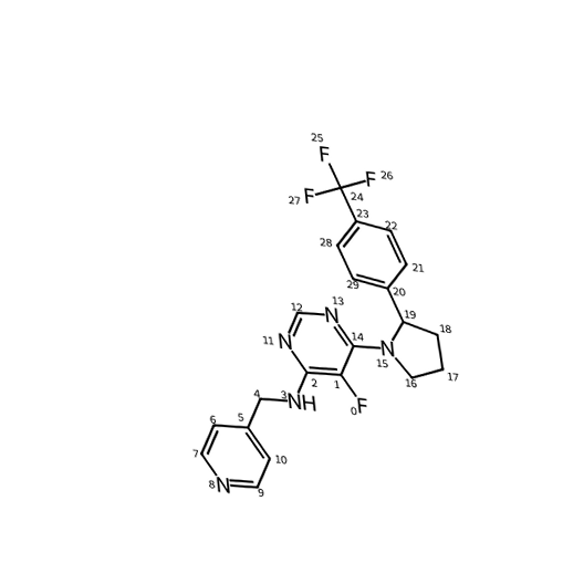 Fc1c(NCc2ccncc2)ncnc1N1CCCC1c1ccc(C(F)(F)F)cc1